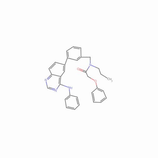 CCCN(Cc1cccc(-c2ccc3ncnc(Nc4ccccc4)c3c2)c1)C(=O)COc1ccccc1